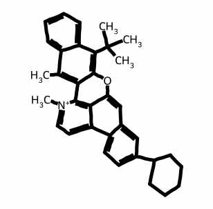 Cc1c2c(c(C(C)(C)C)c3ccccc13)Oc1cc3cc(C4CCCCC4)ccc3c3cc[n+](C)c-2c13